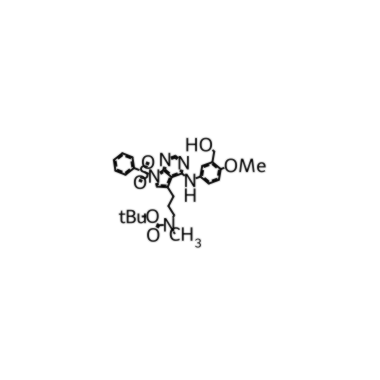 COc1ccc(Nc2ncnc3c2c(CCCN(C)C(=O)OC(C)(C)C)cn3S(=O)(=O)c2ccccc2)cc1CO